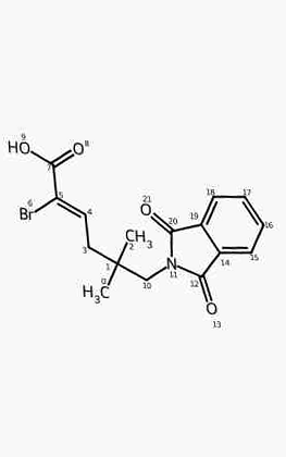 CC(C)(CC=C(Br)C(=O)O)CN1C(=O)c2ccccc2C1=O